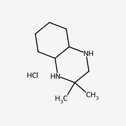 CC1(C)CNC2CCCCC2N1.Cl